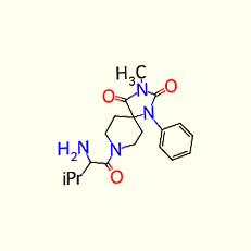 CC(C)C(N)C(=O)N1CCC2(CC1)C(=O)N(C)C(=O)N2c1ccccc1